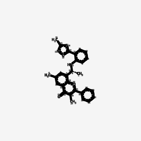 Cc1cc([C@@H](C)Nc2ccccc2-c2nc(C)no2)c2oc(-c3ccccc3)c(C)c(=O)c2c1